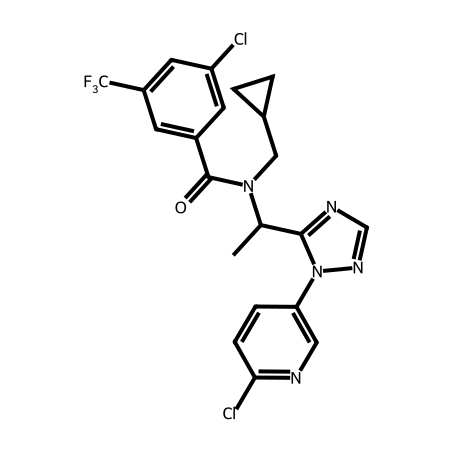 CC(c1ncnn1-c1ccc(Cl)nc1)N(CC1CC1)C(=O)c1cc(Cl)cc(C(F)(F)F)c1